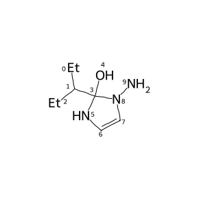 CCC(CC)C1(O)NC=CN1N